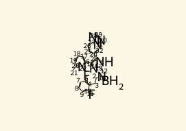 BN(CCc1c(F)cccc1F)Cc1nc(-c2cccc(C)n2)c(-c2ccc3ncnn3c2)[nH]1